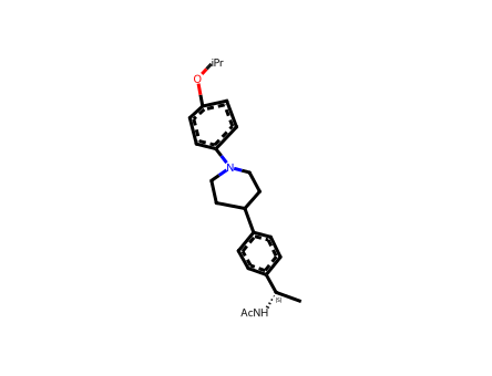 CC(=O)N[C@@H](C)c1ccc(C2CCN(c3ccc(OC(C)C)cc3)CC2)cc1